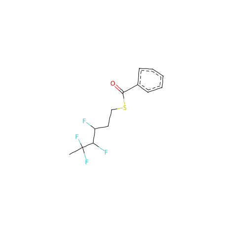 CC(F)(F)C(F)C(F)CCSC(=O)c1ccccc1